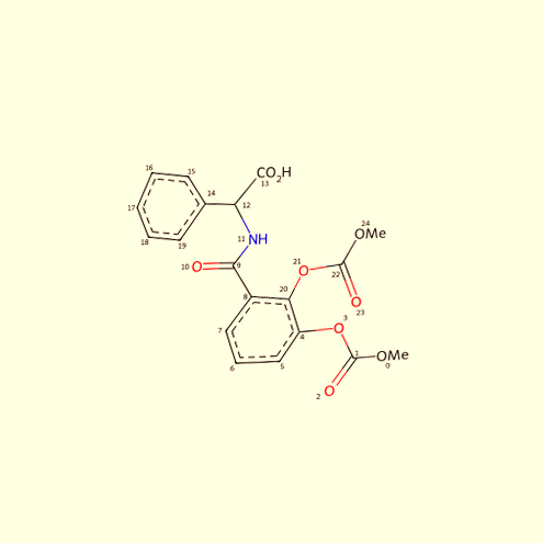 COC(=O)Oc1cccc(C(=O)NC(C(=O)O)c2ccccc2)c1OC(=O)OC